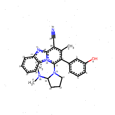 Cc1c(-c2cccc(O)c2)c(N2CCCC2N(C)C)n2c(nc3ccccc32)c1C#N